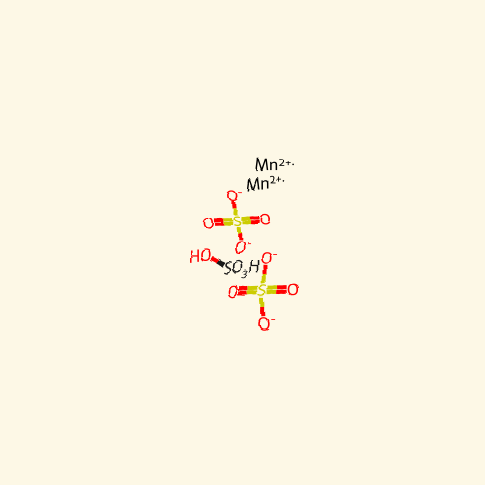 O=S(=O)(O)O.O=S(=O)([O-])[O-].O=S(=O)([O-])[O-].[Mn+2].[Mn+2]